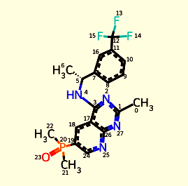 Cc1nc(N[C@H](C)c2cccc(C(F)(F)F)c2)c2cc(P(C)(C)=O)cnc2n1